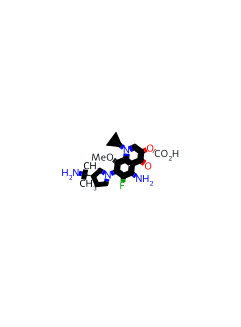 COc1c(N2CC[C@H](C(C)(C)N)C2)c(F)c(N)c2c(=O)c(OC(=O)O)cn(C3CC3)c12